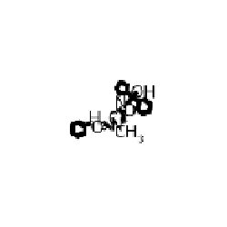 C[N+](C)(CCOCc1ccccc1)Cc1cnc(C(O)(c2ccccc2)C2CCCC2)o1